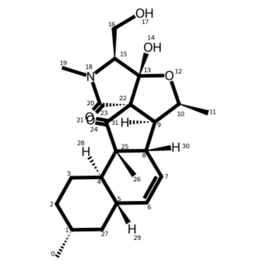 C[C@@H]1CC[C@@H]2[C@H](C=C[C@H]3[C@@H]4[C@H](C)O[C@@]5(O)[C@H](CO)N(C)C(=O)[C@@]45C(=O)[C@@]23C)C1